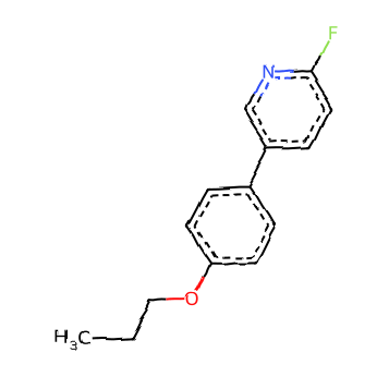 CCCOc1ccc(-c2ccc(F)nc2)cc1